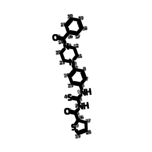 O=C(NC(=S)Nc1ccc(N2CCN(C(=O)c3ccccc3)CC2)cc1)C1CC=CS1